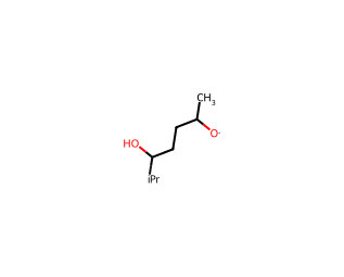 CC([O])CCC(O)C(C)C